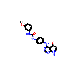 O=C(Nc1ccc(Nc2ncnc3[nH]ccc(=O)c23)cc1)Nc1cccc(OC(F)(F)F)c1